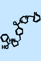 O=C(c1ccc(C[C@@H]2CC[C@H](C(O)c3ccccc3)N2)cc1)N1CCN(Cc2ccccn2)CC1